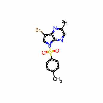 [2H]c1cnc2c(n1)c(Br)cn2S(=O)(=O)c1ccc(C)cc1